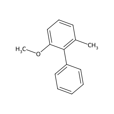 COc1cccc(C)c1-c1ccccc1